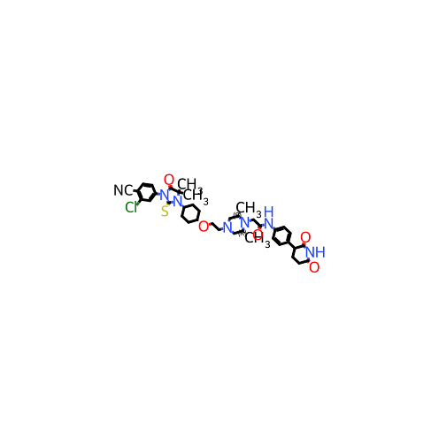 C[C@@H]1CN(CCO[C@H]2CC[C@H](N3C(=S)N(c4ccc(C#N)c(Cl)c4)C(=O)C3(C)C)CC2)C[C@H](C)N1CC(=O)Nc1ccc(C2CCC(=O)NC2=O)cc1